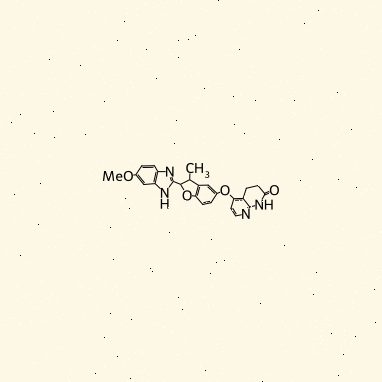 COc1ccc2nc(C3Oc4ccc(Oc5ccnc6c5CCC(=O)N6)cc4C3C)[nH]c2c1